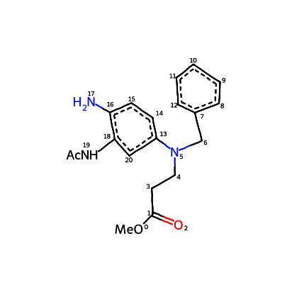 COC(=O)CCN(Cc1ccccc1)c1ccc(N)c(NC(C)=O)c1